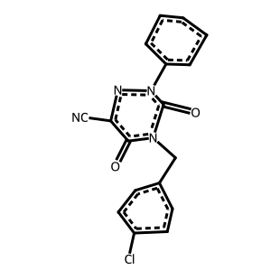 N#Cc1nn(-c2ccccc2)c(=O)n(Cc2ccc(Cl)cc2)c1=O